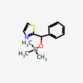 C[Si](C)(C)OC(c1ccccc1)c1nccs1